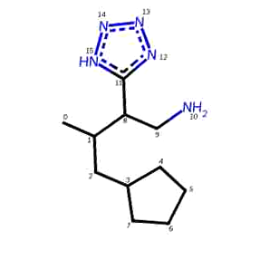 CC(CC1CCCC1)C(CN)c1nnn[nH]1